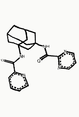 O=C(NC12CC3CC(C1)CC(NC(=O)c1ncccn1)(C3)C2)c1ccccn1